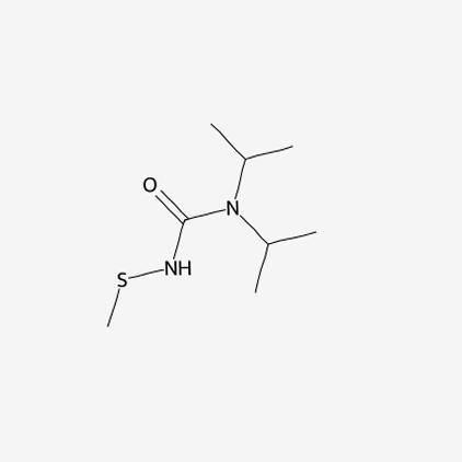 CSNC(=O)N(C(C)C)C(C)C